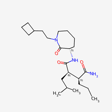 CCC[C@H](C(N)=O)[C@@H](CC(C)C)C(=O)N[C@H]1CCCCN(CCC2CCC2)C1=O